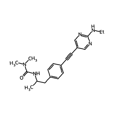 CCNc1ncc(C#Cc2ccc(CC(C)NC(=O)N(C)C)cc2)cn1